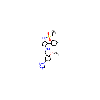 CCS(=O)(=O)N[C@H]1CC[C@H](NCc2cc(-n3cnnn3)ccc2OC)[C@@H]1c1ccc(F)cc1